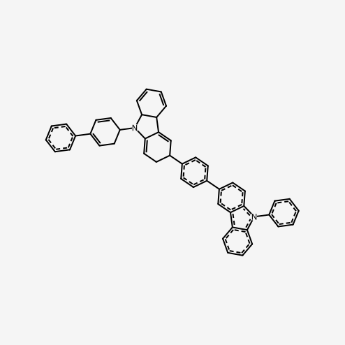 C1=CC2C3=CC(c4ccc(-c5ccc6c(c5)c5ccccc5n6-c5ccccc5)cc4)CC=C3N(C3C=CC(c4ccccc4)=CC3)C2C=C1